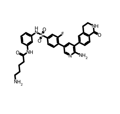 NCCCCC(=O)Nc1cccc(NS(=O)(=O)c2ccc(-c3cnc(N)c(-c4ccc5c(c4)CCNC5=O)c3)c(F)c2)c1